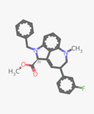 COC(=O)[C@@H]1C2=CC(c3cccc(F)c3)CN(C)c3cccc(c32)N1Cc1ccccc1